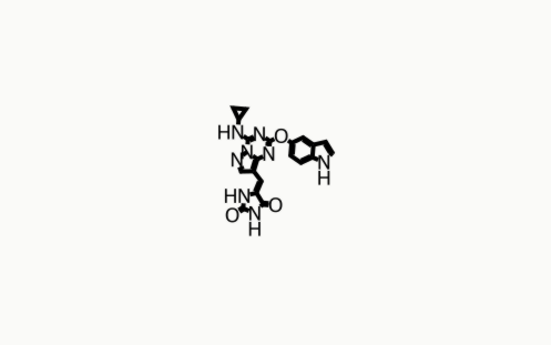 O=C1NC(=O)/C(=C/c2cnn3c(NC4CC4)nc(Oc4ccc5[nH]ccc5c4)nc23)N1